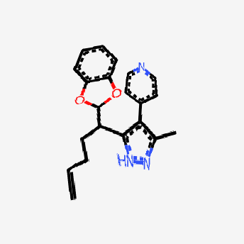 C=CCCC(c1[nH]nc(C)c1-c1ccncc1)C1Oc2ccccc2O1